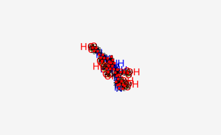 Cc1cc(Nc2nc(NCCS(=O)(=O)O)nc(Nc3cc(C)c(N=Nc4ccc(/N=N\c5ccc(S(=O)(=O)O)cc5)cc4S(=O)(=O)O)cc3OCCCS(=O)(=O)O)n2)c(OCCCS(=O)(=O)O)cc1N=Nc1ccc(N=Nc2ccc(S(=O)(=O)O)cc2)cc1S(=O)(=O)O